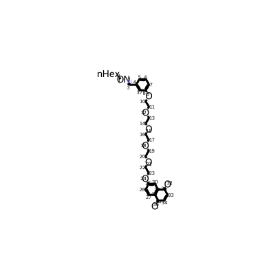 CCCCCCO/N=C/c1cccc(OCCOCCOCCOCCOCCOc2ccc3c(c2)C(=O)C=CC3=O)c1